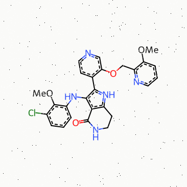 COc1cccnc1COc1cnccc1-c1[nH]c2c(c1Nc1cccc(Cl)c1OC)C(=O)NCC2